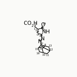 O=C(O)CC1S/C(=N\N=C2C3CC4CC(C3)CC2C4)NC1=O